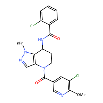 CCCn1ncc2c1C(NC(=O)c1ccccc1Cl)CCN2C(=O)c1cnc(OC)c(Cl)c1